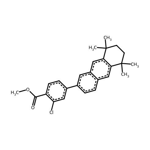 COC(=O)c1ccc(-c2ccc3cc4c(cc3c2)C(C)(C)CCC4(C)C)cc1Cl